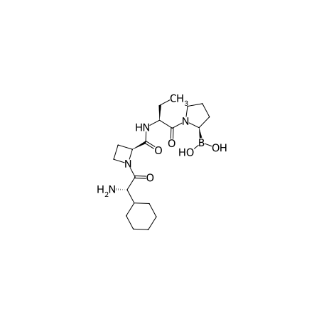 CC[C@H](NC(=O)[C@@H]1CCN1C(=O)[C@@H](N)C1CCCCC1)C(=O)N1CCC[C@H]1B(O)O